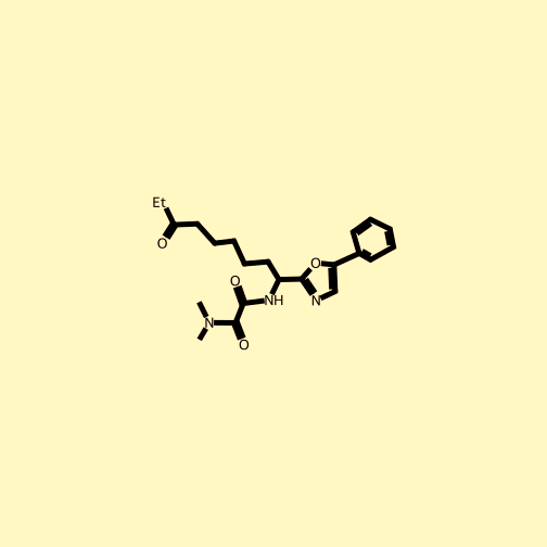 CCC(=O)CCCCCC(NC(=O)C(=O)N(C)C)c1ncc(-c2ccccc2)o1